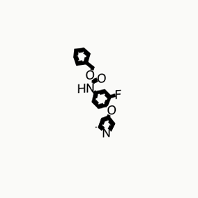 O=C(Nc1ccc(Oc2c[c]ncc2)c(F)c1)OCc1ccccc1